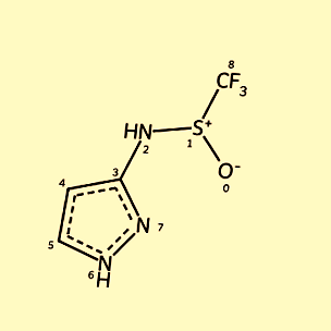 [O-][S+](Nc1cc[nH]n1)C(F)(F)F